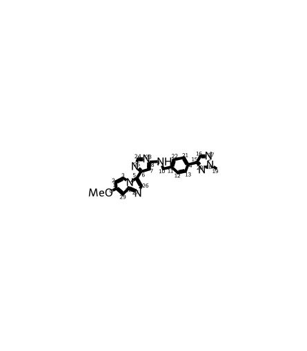 COc1ccn2c(-c3cc(NCc4ccc(-c5cnn(C)n5)cc4)ncn3)cnc2c1